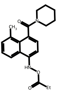 CCC(=O)ONc1ccc(C(=O)N2CCCCC2)c2c(C)cccc12